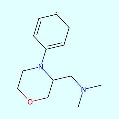 CN(C)CC1COCCN1C1=CC[CH]C=C1